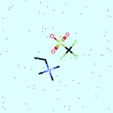 CC[N+](C)(C)C.O=S(=O)([O-])C(F)(F)F